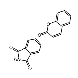 O=C1NC(=O)c2ccccc21.O=c1ccc2ccccc2o1